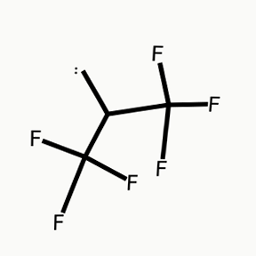 [CH]C(C(F)(F)F)C(F)(F)F